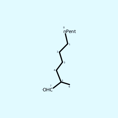 CCCCCCCCCC(C)[C]=O